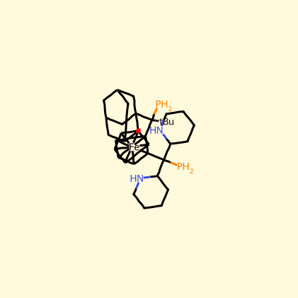 CC(C)(C)C(P)(C12CC3CC(CC(C3)C1)C2)[C]12[CH]3[CH]4[CH]5[C]1(C(P)(C1CCCCN1)C1CCCCN1)[Fe]45321678[CH]2[CH]1[CH]6[CH]7[CH]28